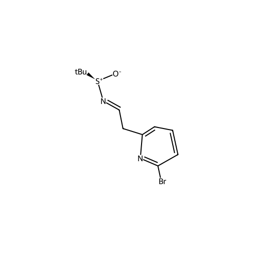 CC(C)(C)[S@@+]([O-])/N=C/Cc1cccc(Br)n1